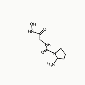 NC1CCCN1C(=O)NCC(=O)NO